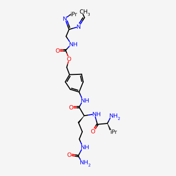 C/C=N\C(CNC(=O)OCc1ccc(NC(=O)[C@H](CCCNC(N)=O)NC(=O)[C@@H](N)C(C)C)cc1)=N/C(C)C